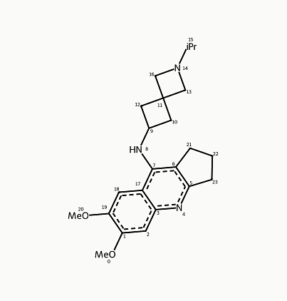 COc1cc2nc3c(c(NC4CC5(C4)CN(C(C)C)C5)c2cc1OC)CCC3